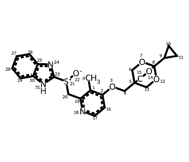 Cc1c(OCC23COC(C4CC4)(OC2)OC3)ccnc1C[S+]([O-])c1nc2ccccc2[nH]1